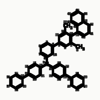 Cc1cc(-c2cccc(N(c3ccc(-c4ccccc4)cc3)c3ccc(-c4ccccc4)cc3)c2)cc(C)c1-c1cccc2ccccc12